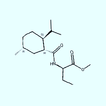 CCC(NC(=O)[C@@H]1C[C@H](C)CC[C@H]1C(C)C)C(=O)OC